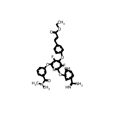 CCOC(=O)C=Cc1ccc(Oc2c(F)c(Oc3cccc(C(=O)N(C)C)c3)nc(Oc3cc(C(=N)N)ccc3O)c2F)cc1